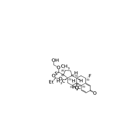 CCC(=O)O[C@]1(C(=S)OCO)[C@H](C)C[C@H]2[C@@H]3C[C@H](F)C4=CC(=O)C=C[C@]4(C)[C@@]34O[C@H]4C[C@@]21C